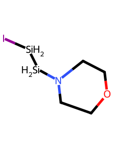 I[SiH2][SiH2]N1CCOCC1